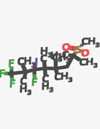 CC(C)(CC(C)(C)S(C)(=O)=O)C(C)(C)C(F)(I)C(C)(C)C(F)(F)F